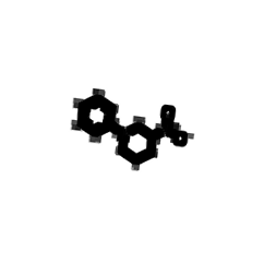 O=[N+]([O-])C1CCCN(c2ccccc2)C1